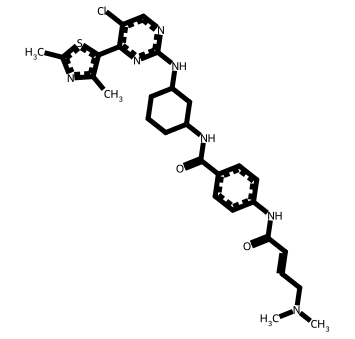 Cc1nc(C)c(-c2nc(NC3CCCC(NC(=O)c4ccc(NC(=O)/C=C/CN(C)C)cc4)C3)ncc2Cl)s1